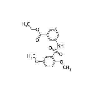 CCOC(=O)c1cncc(NS(=O)(=O)c2cc(OC)ccc2OC)c1